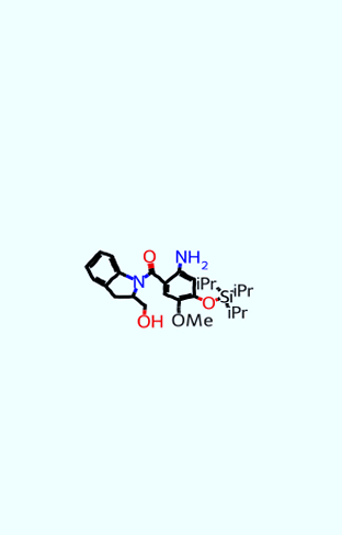 COc1cc(C(=O)N2c3ccccc3CC2CO)c(N)cc1O[Si](C(C)C)(C(C)C)C(C)C